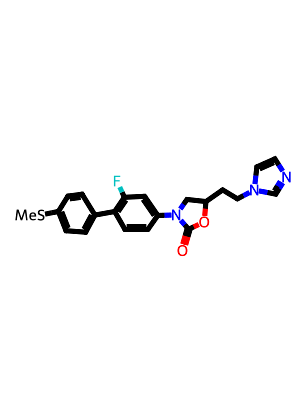 CSc1ccc(-c2ccc(N3CC(CCn4ccnc4)OC3=O)cc2F)cc1